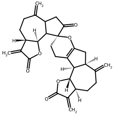 C=C1CC[C@H]2C(=C)C(=O)O[C@@H]2C2C1CC(=O)[C@]21CCC2=C(C[C@H]3C(=C)CC[C@H]4C(=C)C(=O)O[C@@H]4[C@@H]23)O1